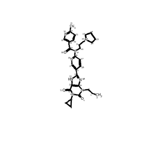 CCCn1c(=O)n(C2CC2)c(=O)c2[nH]c(-c3ccc(N(CCN4CCCC4)C(=O)c4ccc(C)nc4)nc3)nc21